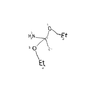 [CH2]C(N)(OCC)OCC